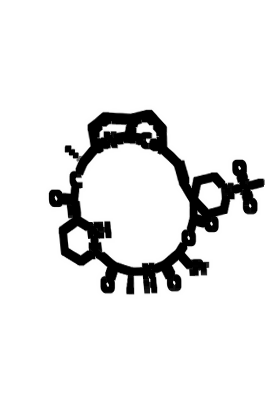 CC(C)C1OC(=O)C2(/C=C/c3ccc4ccc(nc4c3)[C@@H](C)CC(=O)[C@@H]3CCCN(N3)C(=O)[C@H](C)NC1=O)CCN(S(C)(=O)=O)CC2